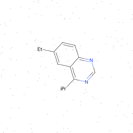 CCc1ccc2ncnc(C(C)C)c2c1